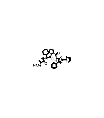 CN[C@@H](C)C(=O)N[C@](C)(C(=O)N1CCC[C@H]1C(=O)Nc1sc(-c2ncco2)nc1-c1ccccc1)C1CCCCC1